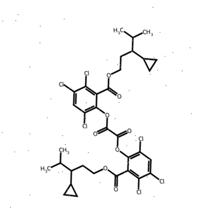 CC(C)C(CCOC(=O)c1c(Cl)c(Cl)cc(Cl)c1OC(=O)C(=O)Oc1c(Cl)cc(Cl)c(Cl)c1C(=O)OCCC(C(C)C)C1CC1)C1CC1